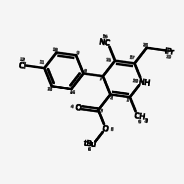 CC1=C(C(=O)OC(C)(C)C)C(c2ccc(Cl)cc2)C(C#N)=C(CC(C)C)N1